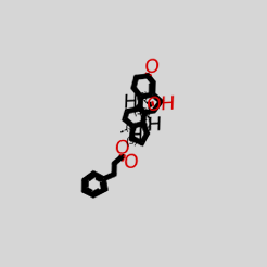 C[C@]12CC[C@H]3[C@@H](CCC4=CC(=O)CC[C@@]43CO)[C@@H]1CC[C@@H]2OC(=O)CCc1ccccc1